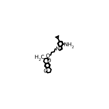 C=C(Cc1ccc2c(c1)OCCC2)C(=O)OCCCCn1ccc2c(N)cc(C3CC3)cc21